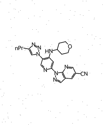 CCCc1cn(-c2cnc(-n3ncc4cc(C#N)cnc43)cc2NC2CCOCC2)nn1